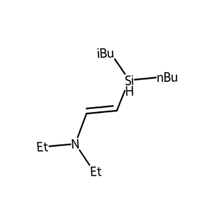 CCCC[SiH](C=CN(CC)CC)C(C)CC